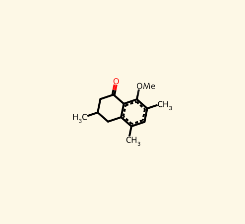 COc1c(C)cc(C)c2c1C(=O)CC(C)C2